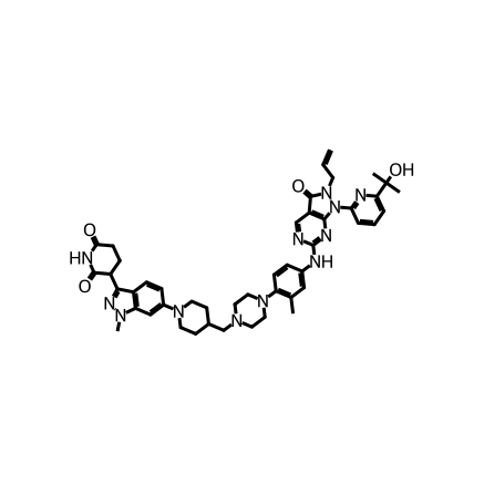 C=CCn1c(=O)c2cnc(Nc3ccc(N4CCN(CC5CCN(c6ccc7c(C8CCC(=O)NC8=O)nn(C)c7c6)CC5)CC4)c(C)c3)nc2n1-c1cccc(C(C)(C)O)n1